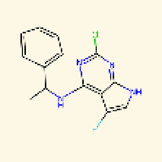 CC(Nc1nc(Cl)nc2[nH]cc(F)c12)c1ccccc1